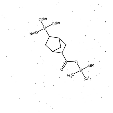 CO[Si](OC)(OC)C1CC2CC1CC2C(=O)O[Si](C)(C)C(C)(C)C